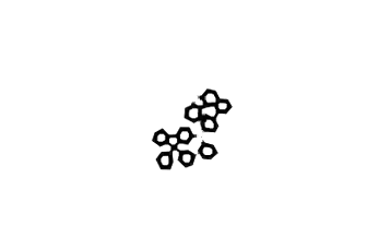 c1ccc(N(c2ccc(-c3cccc4ccc5oc6ccccc6c5c34)cc2)c2ccc3c(c2)C(c2ccccc2)(c2ccccc2)c2ccccc2-3)cc1